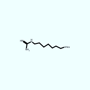 CCCCCCCCCCCCCNC(=N)N